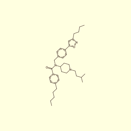 CCCCCc1ccc(C(=O)N(Cc2ccc(-c3cc(CCCC)no3)cc2)C2CCN(CCC(C)C)CC2)cc1